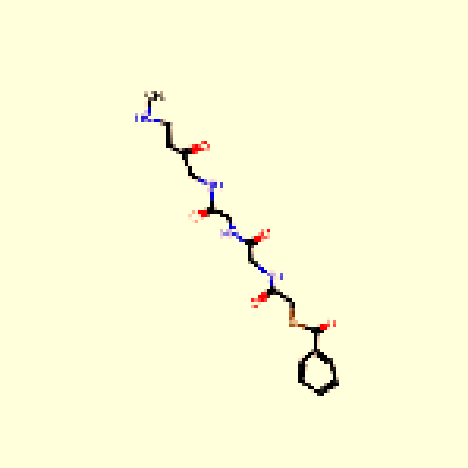 CNCCC(=O)CNC(=O)CNC(=O)CNC(=O)CSC(=O)c1ccccc1